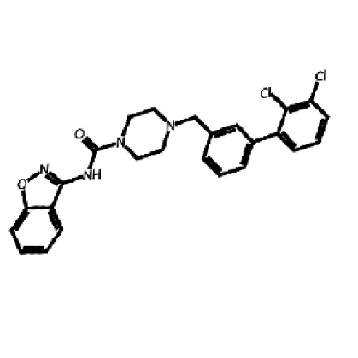 O=C(Nc1noc2ccccc12)N1CCN(Cc2cccc(-c3cccc(Cl)c3Cl)c2)CC1